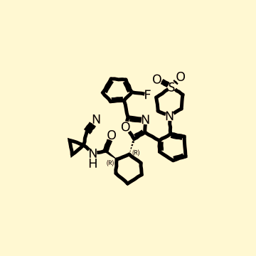 N#CC1(NC(=O)[C@@H]2CCCC[C@H]2c2oc(-c3ccccc3F)nc2-c2ccccc2N2CCS(=O)(=O)CC2)CC1